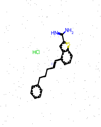 Cl.N=C(N)c1cc2c(/C=C/CCCc3ccccc3)cccc2s1